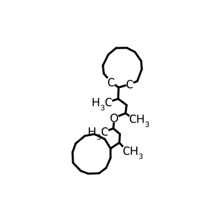 CC(CC(C)C1CCCCCCCCCCC1)OC(C)CC(C)C1CCCCCCCCCCC1